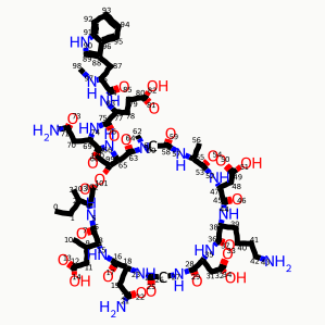 CCC(C)C1NC(=O)C(C(C)CC(=O)O)NC(=O)C(CC(N)=O)NC(=O)CNC(=O)C(CC(=O)O)NC(=O)C(CCCCN)NC(=O)C(CC(=O)O)NC(=O)C(C)NC(=O)CN(C)C(=O)C(NC(=O)C(CC(N)=O)NC(=O)C(CCC(=O)O)NC(=O)C(Cc2c[nH]c3ccccc23)NC)C(C)OC1=O